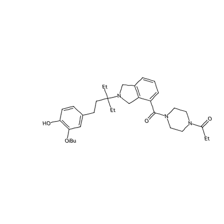 CCC(=O)N1CCN(C(=O)c2cccc3c2CN(C(CC)(CC)CCc2ccc(O)c(OCC(C)C)c2)C3)CC1